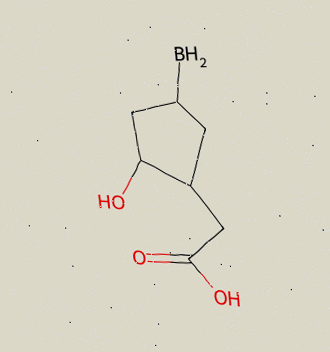 BC1CC(O)C(CC(=O)O)C1